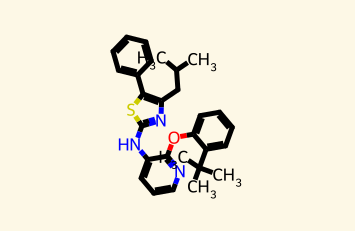 CC(C)Cc1nc(Nc2cccnc2Oc2ccccc2C(C)(C)C)sc1-c1ccccc1